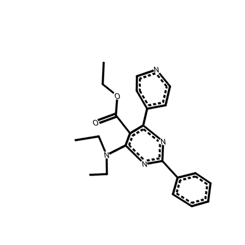 CCOC(=O)c1c(-c2ccncc2)nc(-c2ccccc2)nc1N(CC)CC